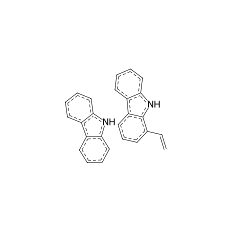 C=Cc1cccc2c1[nH]c1ccccc12.c1ccc2c(c1)[nH]c1ccccc12